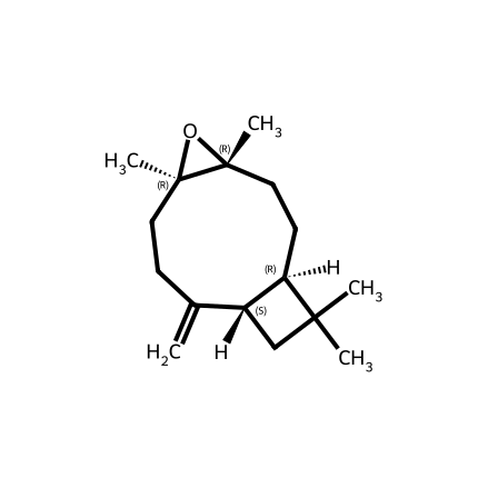 C=C1CC[C@@]2(C)O[C@]2(C)CC[C@@H]2[C@@H]1CC2(C)C